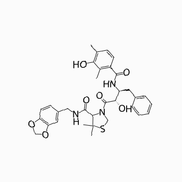 Cc1ccc(C(=O)N[C@@H](Cc2ccccc2)[C@H](O)C(=O)N2CSC(C)(C)C2C(=O)NCc2ccc3c(c2)OCO3)c(C)c1O